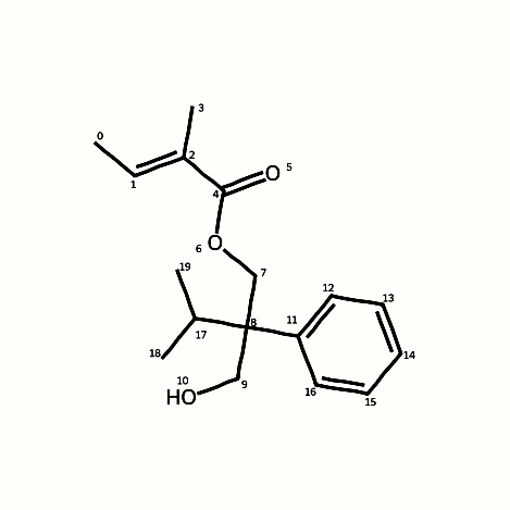 CC=C(C)C(=O)OCC(CO)(c1ccccc1)C(C)C